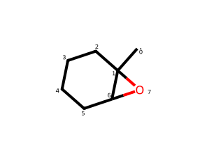 [CH2]C12CCCCC1O2